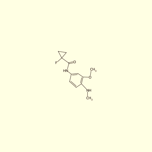 CNc1ccc(NC(=O)C2(F)CC2)cc1OC